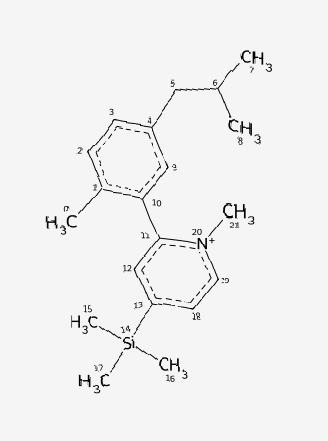 Cc1ccc(CC(C)C)cc1-c1cc([Si](C)(C)C)cc[n+]1C